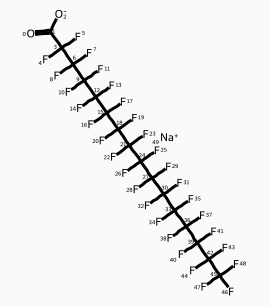 O=C([O-])C(F)(F)C(F)(F)C(F)(F)C(F)(F)C(F)(F)C(F)(F)C(F)(F)C(F)(F)C(F)(F)C(F)(F)C(F)(F)C(F)(F)C(F)(F)C(F)(F)C(F)(F)F.[Na+]